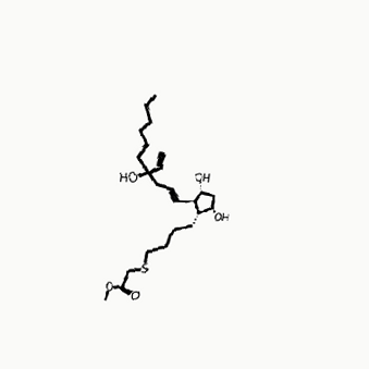 C=CC(O)(CC=C[C@@H]1[C@@H](CCCCSCC(=O)OC)[C@@H](O)C[C@H]1O)CCCCCC